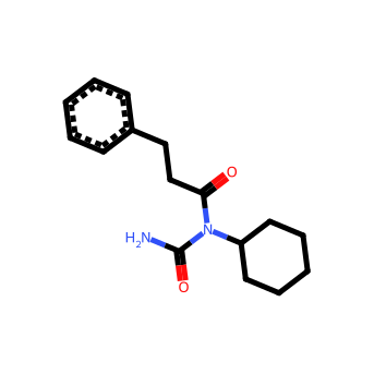 NC(=O)N(C(=O)CCc1ccccc1)C1CCCCC1